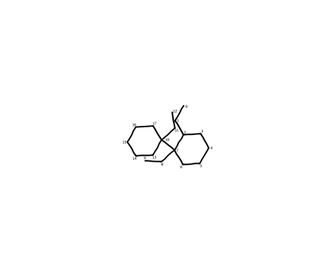 CCC1CCCCC1(CC)C1(CC)CCCCC1